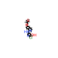 CC1(COc2ccc3c(Nc4cnc(Cl)c(O)c4)nccc3c2)COC1